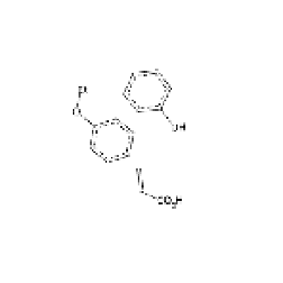 C=CC(=O)O.CCOc1ccccc1.Oc1ccccc1